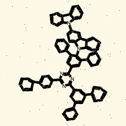 c1ccc(-c2ccc(-c3nc(-c4cc(-c5ccccc5)cc(-c5ccccc5)c4)nc(-c4cc(-c5ccccc5)c(-n5c6ccccc6c6cc(-n7c8ccccc8c8ccccc87)ccc65)c(-c5ccccc5)c4)n3)cc2)cc1